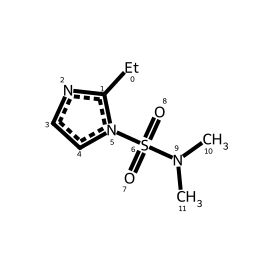 CCc1nccn1S(=O)(=O)N(C)C